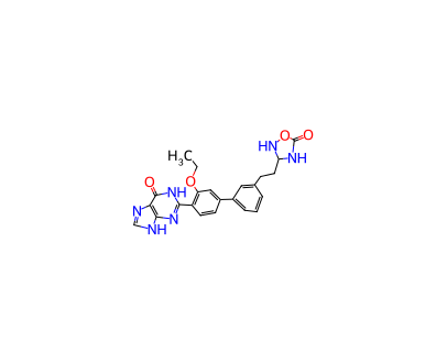 CCOc1cc(-c2cccc(CCC3NOC(=O)N3)c2)ccc1-c1nc2[nH]cnc2c(=O)[nH]1